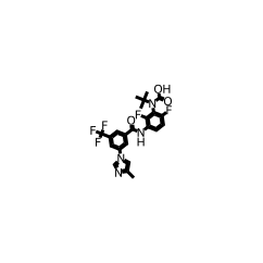 Cc1cn(-c2cc(C(=O)Nc3ccc(F)c(N(C(=O)O)C(C)(C)C)c3F)cc(C(F)(F)F)c2)cn1